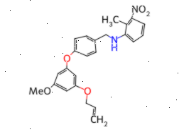 C=CCOc1cc(OC)cc(Oc2ccc(CNc3cccc([N+](=O)[O-])c3C)cc2)c1